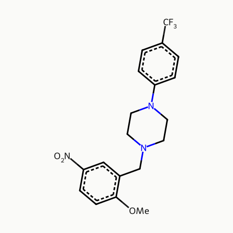 COc1ccc([N+](=O)[O-])cc1CN1CCN(c2ccc(C(F)(F)F)cc2)CC1